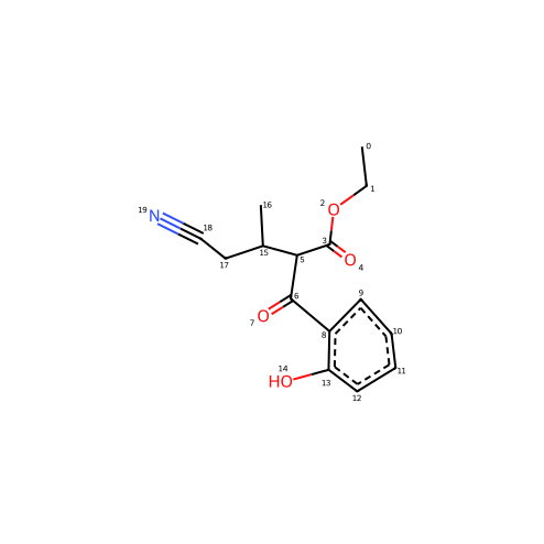 CCOC(=O)C(C(=O)c1ccccc1O)C(C)CC#N